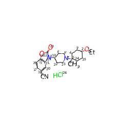 CCOC1CCC(C)(N2CCC(n3c(=O)oc4ccc(C#N)cc43)CC2)CC1.Cl